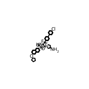 N[C@@H]1CCN(C(=O)C(NS(=O)(=O)c2ccc3cc(OC4CCCC4)ccc3c2)C(F)(F)c2ccc(-c3ccc(Cl)cc3)cc2)C1